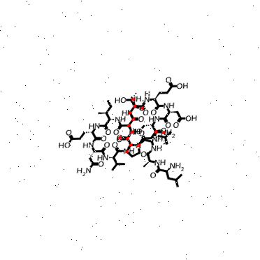 CC[C@H](C)[C@H](NC(=O)[C@H](CCC(N)=O)NC(=O)[C@@H]1CCCN1C(=O)[C@H](CC(C)C)NC(=O)[C@H](C)NC(=O)[C@@H](N)CC(C)C)C(=O)N[C@@H](CCC(=O)O)C(=O)N[C@@H](CC(N)=O)C(=O)N[C@H](C(=O)N[C@@H](CCCCN)C(=O)NCC(=O)N[C@H](C(=O)N[C@@H](CCC(=O)O)C(=O)N[C@@H](CC(=O)O)C(=O)N[C@@H](CO)C(N)=O)[C@@H](C)O)C(C)C